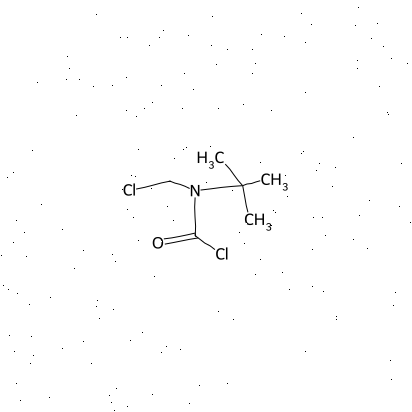 CC(C)(C)N(CCl)C(=O)Cl